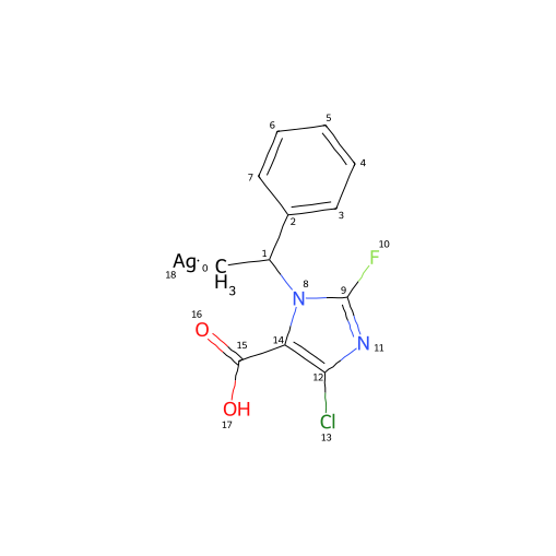 CC(c1ccccc1)n1c(F)nc(Cl)c1C(=O)O.[Ag]